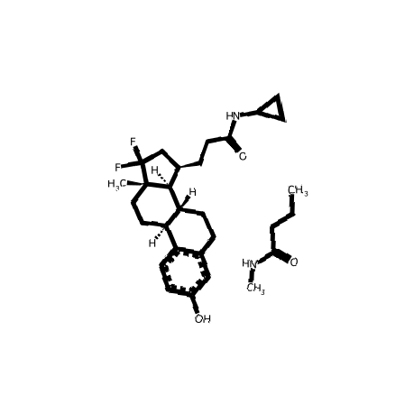 CCCC(=O)NC.C[C@]12CC[C@@H]3c4ccc(O)cc4CC[C@H]3[C@@H]1[C@H](CCC(=O)NC1CC1)CC2(F)F